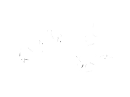 COC(CN(C)CCCN(C)C(=O)C1CSC(c2cccnc2)N1)(c1ccc(F)cc1)c1ccc(F)cc1